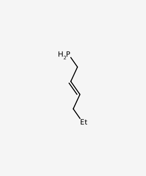 CCCC=CCP